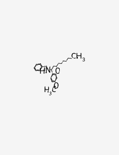 CCCCCCCC1CC(NCc2ccccc2)c2ccc(OC)cc2O1